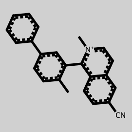 Cc1ccc(-c2ccccc2)cc1-c1c2ccc(C#N)cc2cc[n+]1C